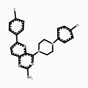 Nc1nc(N2CCN(c3ccc(Cl)cc3)CC2)c2nc(-c3ccc(F)cc3)ccc2n1